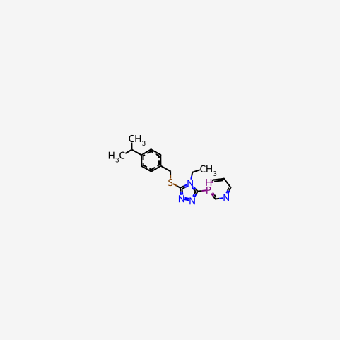 CCn1c(SCc2ccc(C(C)C)cc2)nnc1[PH]1=CN=CC=C1